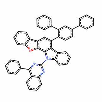 c1ccc(-c2ccc(-c3cc4c5ccccc5oc4c4c3c3ccccc3n4-c3nc(-c4ccccc4)c4ccccc4n3)c(-c3ccccc3)c2)cc1